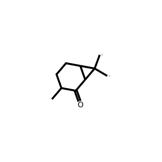 [CH2]C1([CH2])C2CCC(C)C(=O)C21